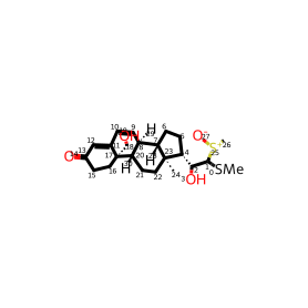 CSC(C(O)[C@H]1CC[C@H]2[C@@H]3C=CC4=CC(=O)CC[C@]4(CO)[C@H]3CC[C@]12C)[S+](C)[O-]